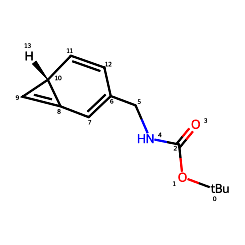 CC(C)(C)OC(=O)NCC1=CC2=C[C@@H]2C=C1